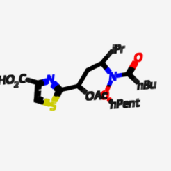 CCCCCON(C(=O)CCCC)C(CC(OC(C)=O)c1nc(C(=O)O)cs1)C(C)C